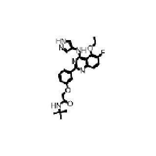 CCOc1c(F)ccc2nc(-c3cccc(OCC(=O)NC(C)(C)C)c3)nc(Nc3cn[nH]c3)c12